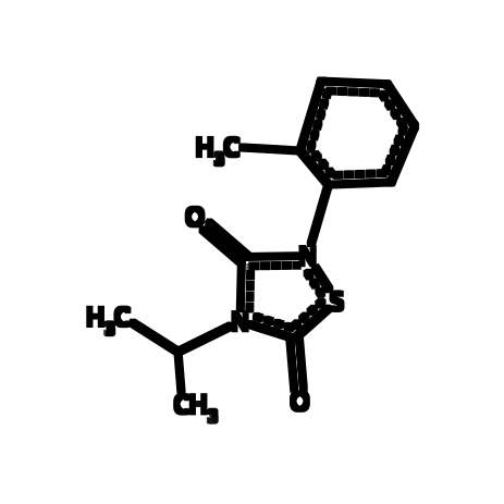 Cc1ccccc1-n1sc(=O)n(C(C)C)c1=O